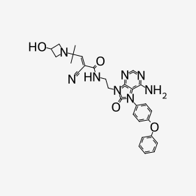 CC(C)(C=C(C#N)C(=O)NCCn1c(=O)n(-c2ccc(Oc3ccccc3)cc2)c2c(N)ncnc21)N1CC(O)C1